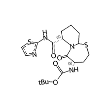 CC(C)(C)OC(=O)N[C@H]1CCSC2CCC[C@@H](C(=O)Nc3nccs3)N2C1=O